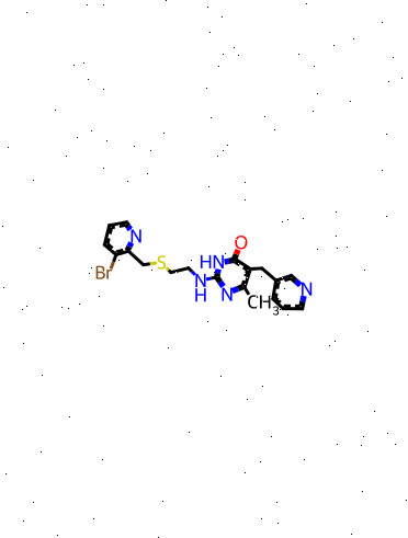 Cc1nc(NCCSCc2ncccc2Br)[nH]c(=O)c1Cc1cccnc1